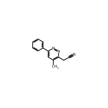 Cc1cc(-c2ccccc2)nnc1CC#N